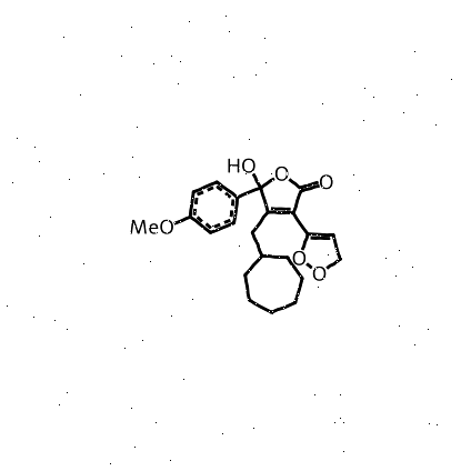 COc1ccc(C2(O)OC(=O)C(C3=CCOO3)=C2CC2CCCCCC2)cc1